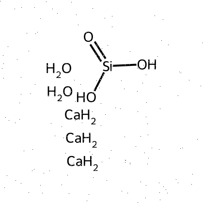 O.O.O=[Si](O)O.[CaH2].[CaH2].[CaH2]